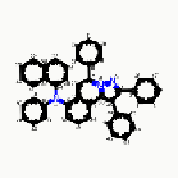 c1ccc(-c2nn3c(-c4ccccc4)cc4c(N(c5ccccc5)c5cccc6ccccc56)cccc4c3c2-c2ccccc2)cc1